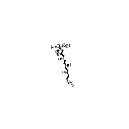 CCO[Si](CCCNCCNCCNCCN)(OCC)OCC